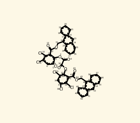 O=C(Oc1c(Cl)cc(Cl)c(Cl)c1C(=O)OCc1c2ccccc2cc2ccccc12)C(=O)Oc1c(Cl)cc(Cl)c(Cl)c1C(=O)OCc1c2ccccc2cc2ccccc12